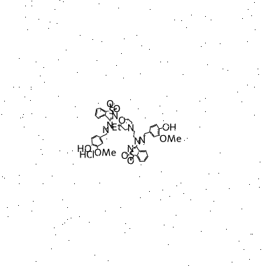 CCN(N=Cc1ccc(O)c(OC)c1)C1=NS(=O)(=O)c2ccccc21.COc1cc(C=NN(CCN2CCOCC2)C2=NS(=O)(=O)c3ccccc32)ccc1O.Cl